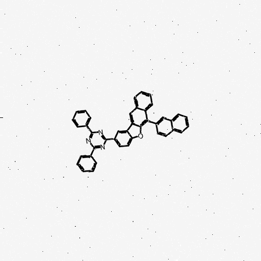 c1ccc(-c2nc(-c3ccccc3)nc(-c3ccc4oc5c(-c6ccc7ccccc7c6)c6ccccc6cc5c4c3)n2)cc1